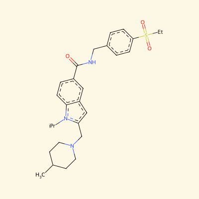 CCS(=O)(=O)c1ccc(CNC(=O)c2ccc3c(c2)cc(CN2CCC(C)CC2)n3C(C)C)cc1